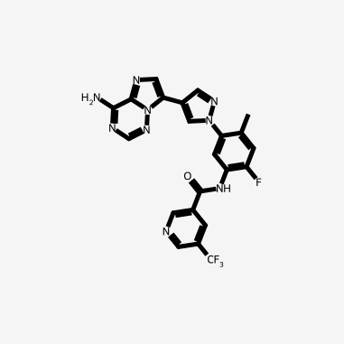 Cc1cc(F)c(NC(=O)c2cncc(C(F)(F)F)c2)cc1-n1cc(-c2cnc3c(N)ncnn23)cn1